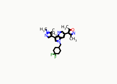 Cc1noc(C)c1-c1cnc2c(-c3cnn(C)c3C)cn(CC3CCC(F)(F)CC3)c2c1